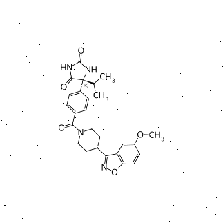 COc1ccc2onc(C3CCN(C(=O)c4ccc([C@@]5(C(C)C)NC(=O)NC5=O)cc4)CC3)c2c1